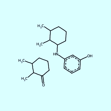 CC1CCCC(=O)C1C.CC1CCCC(Nc2cccc(O)c2)C1C